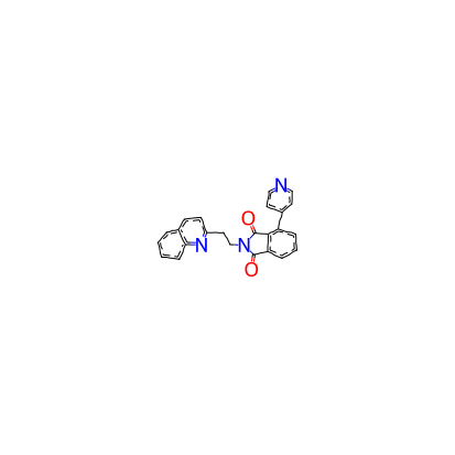 O=C1c2cccc(-c3ccncc3)c2C(=O)N1CCc1ccc2ccccc2n1